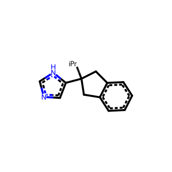 CC(C)C1(c2cnc[nH]2)Cc2ccccc2C1